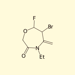 C=C1C(Br)C(F)OCC(=O)N1CC